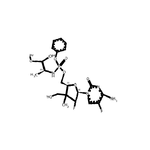 CC(C)OC(O)[C@H](C)NP(=O)(OC[C@H]1O[C@@H](n2cc(F)c(N)nc2=O)C(F)C1(C)CO)Oc1ccccc1